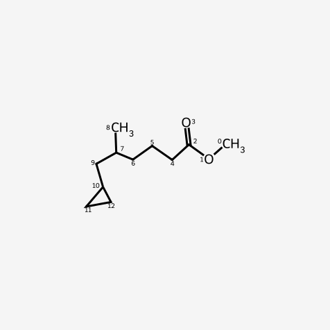 COC(=O)CCCC(C)CC1CC1